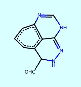 O=CC1NN=C2NC=Nc3cccc1c32